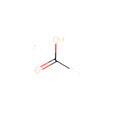 O=[C](O)[Ag].[Ag]